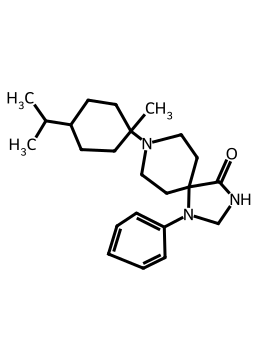 CC(C)C1CCC(C)(N2CCC3(CC2)C(=O)NCN3c2ccccc2)CC1